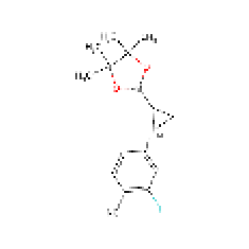 CC1(C)OB(C2C[C@@H]2c2ccc(C#N)c(F)c2)OC1(C)C